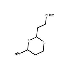 CCCCCCCCC1OCCC(CCC)S1